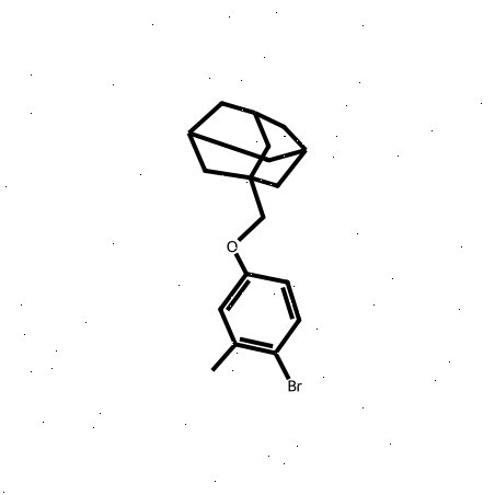 Cc1cc(OCC23CC4CC(CC(C4)C2)C3)ccc1Br